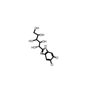 OCC(O)C(O)C(O)[C@H](O)c1nc2cc(Cl)c(Cl)cc2[nH]1